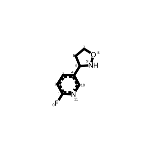 Fc1ccc(C2CCON2)cn1